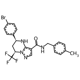 Cc1ccc(CNC(=O)c2cnn3c2N[C@H](c2ccc(Br)cc2)C[C@@H]3C(F)(F)F)cc1